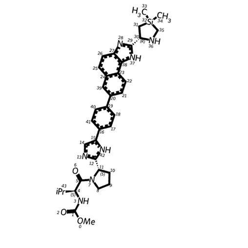 COC(=O)N[C@H](C(=O)N1CCC[C@H]1c1ncc(-c2ccc(-c3ccc4c(ccc5nc([C@@H]6C[Si](C)(C)CN6)[nH]c54)c3)cc2)[nH]1)C(C)C